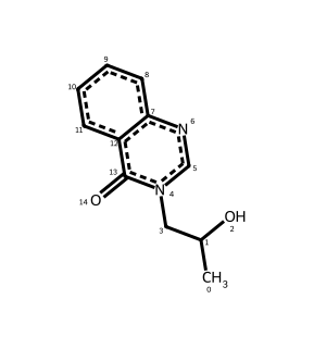 CC(O)Cn1cnc2ccccc2c1=O